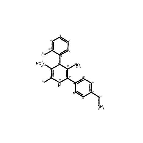 CC1=C(C(=O)O)C(c2ccccc2Cl)C([N+](=O)[O-])=C(c2ccc(CN)cc2)N1